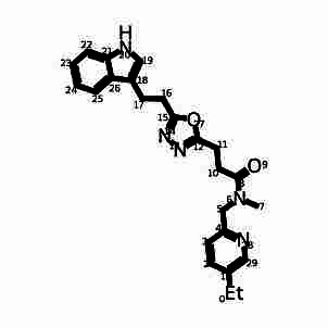 CCc1ccc(CN(C)C(=O)CCc2nnc(CCc3c[nH]c4ccccc34)o2)nc1